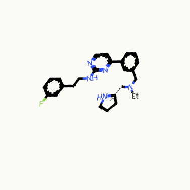 CCN(Cc1cccc(-c2ccnc(NCCc3cccc(F)c3)n2)c1)C[C@@H]1CCCN1